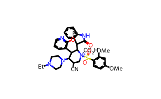 CCOc1ncccc1C1C(N2CCN(CC)CC2)C(C#N)C[N+](C(=O)O)(S(=O)(=O)c2ccc(OC)cc2OC)C1C1C(=O)Nc2ccccc21